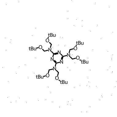 CC(C)(C)OCN(COC(C)(C)C)c1nc(N(COC(C)(C)C)COC(C)(C)C)nc(N(COC(C)(C)C)COC(C)(C)C)n1